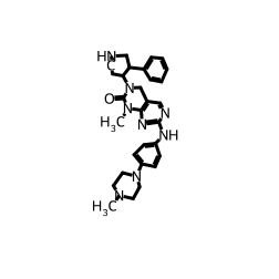 CN1CCN(c2ccc(Nc3ncc4c(n3)N(C)C(=O)N(C3CCNCC3c3ccccc3)C4)cc2)CC1